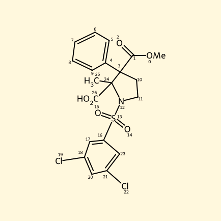 COC(=O)C1(c2ccccc2)CCN(S(=O)(=O)c2cc(Cl)cc(Cl)c2)C1(C)C(=O)O